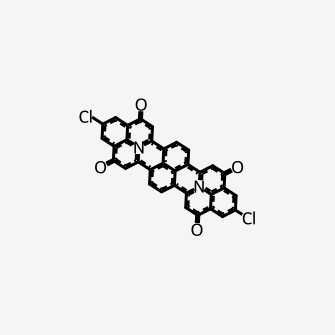 O=c1cc2c3ccc4c5c(ccc(c35)c3cc(=O)c5cc(Cl)cc1c5n23)c1cc(=O)c2cc(Cl)cc3c(=O)cc4n1c32